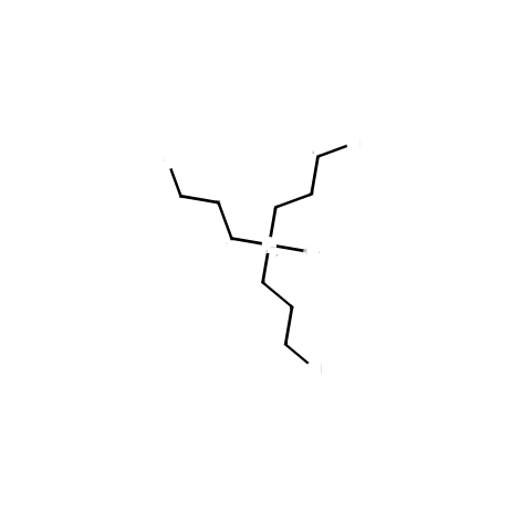 FC(F)(F)CCC[Si](I)(CCCC(F)(F)F)CCCC(F)(F)F